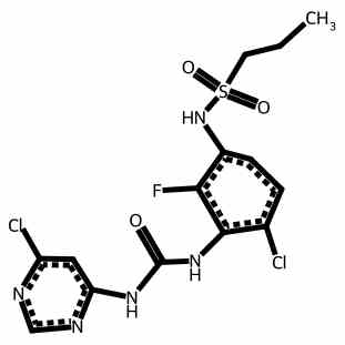 CCCS(=O)(=O)Nc1ccc(Cl)c(NC(=O)Nc2cc(Cl)ncn2)c1F